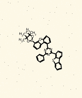 CC1(C)OB(c2cccc3c2oc2cccc(-c4nc(-c5ccccc5)nc(-c5cccc6c5sc5ccccc56)n4)c23)OC1(C)C